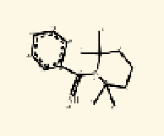 CC1(C)CCCC(C)(C)N1C(=N)c1ccccc1